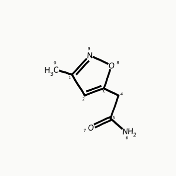 Cc1cc(CC(N)=O)on1